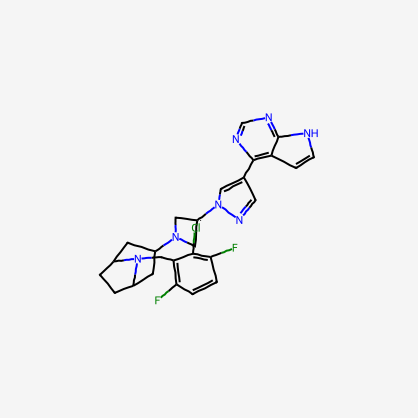 Fc1ccc(F)c(CN2C3CCC2CC(N2C[C](n4cc(-c5ncnc6[nH]ccc56)cn4)C2)C3)c1Cl